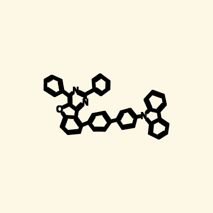 c1ccc(-c2nc(-c3ccccc3)c3oc4cccc(-c5ccc(-c6ccc(-n7c8ccccc8c8ccccc87)cc6)cc5)c4c3n2)cc1